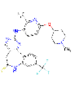 Cc1nc(OC2CCN(C)CC2)ccc1Nc1ncc2c(n1)-c1ccc(C(F)(F)F)cc1NC(=S)C2